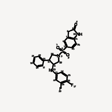 O=C1Cc2cc(S(=O)(=O)N3CC(Nc4ccc(F)c(F)c4)C(c4ccccc4)C3)ccc2N1